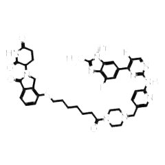 Cc1nc2c(F)cc(-c3nc(Nc4ccc(CN5CCN(C(=O)CCCCCCSc6cccc7c6CN(C6CCC(=O)NC6=O)C7=O)CC5)cn4)ncc3F)cc2n1C(C)C